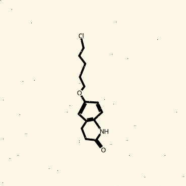 O=C1CCc2cc(OCCCCCCl)ccc2N1